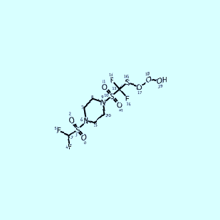 O=S(=O)(C(F)F)N1CCN(S(=O)(=O)C(F)(F)SOOO)CC1